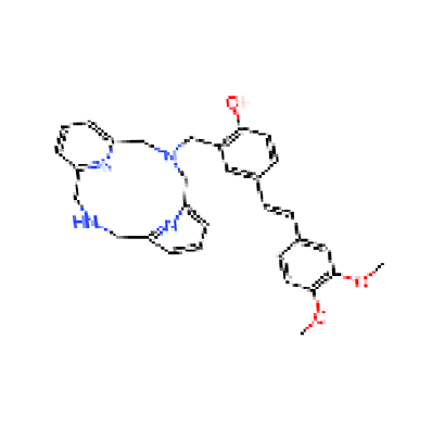 COc1ccc(/C=C/c2ccc(O)c(CN3Cc4cccc(n4)CNCc4cccc(n4)C3)c2)cc1OC